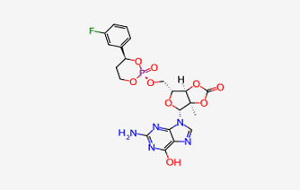 C[C@@]12OC(=O)O[C@@H]1[C@@H](CO[P@@]1(=O)OCC[C@@H](c3cccc(F)c3)O1)O[C@H]2n1cnc2c(O)nc(N)nc21